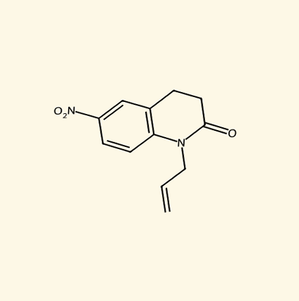 C=CCN1C(=O)CCc2cc([N+](=O)[O-])ccc21